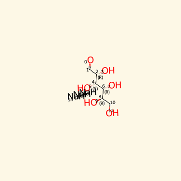 O=C[C@H](O)[C@@H](O)[C@H](O)[C@H](O)CO.[NaH].[NaH].[NaH]